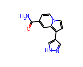 NC(=O)c1ccn2ccc(-c3cn[nH]c3)c2c1